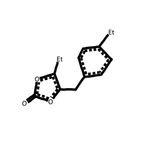 CCc1ccc(Cc2oc(=O)oc2CC)cc1